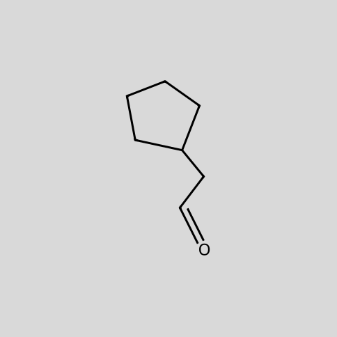 O=CCC1CCCC1